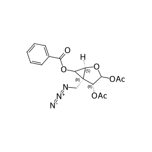 CC(=O)OC1O[C@@H]2C(OC(=O)c3ccccc3)[C@]2(CN=[N+]=[N-])[C@H]1OC(C)=O